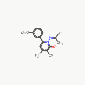 COc1cccc(-c2cc(C(F)(F)F)c(C#N)c(=O)n2N=C(C)C(C)C)c1